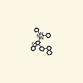 c1ccc(-c2nc(-c3ccccc3)nc(-c3cc(-c4cccc(-c5cccc6ccccc56)c4)c4c(c3)sc3ccccc34)n2)cc1